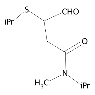 CC(C)SC(C=O)CC(=O)N(C)C(C)C